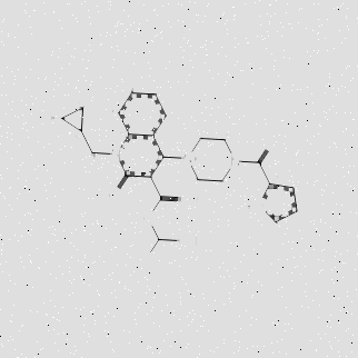 CC(C)OC(=O)c1c(N2CCN(C(=O)c3ccco3)CC2)c2ccccc2n(CC2CC2)c1=O